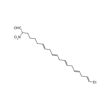 CC/C=C/C/C=C/C/C=C/C/C=C/C/C=C/CCCCC([C]=O)[N+](=O)[O-]